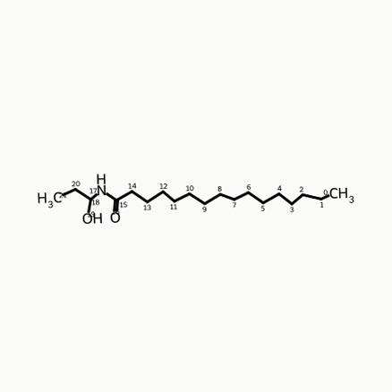 CCCCCCCCCCCCCCCC(=O)NC(O)CC